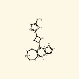 Cc1cnc(C2CN(c3c4c(nc5ccnn35)CCNCC4)C2)o1